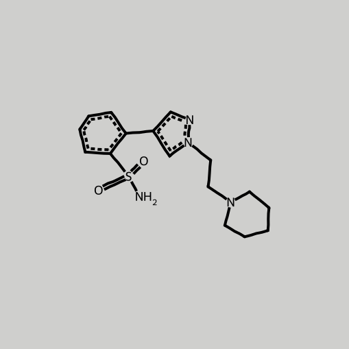 NS(=O)(=O)c1ccccc1-c1cnn(CCN2CCCCC2)c1